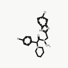 CN(Cc1nc2cc(Cl)ccc2[nH]1)C(=O)C(c1ccc(F)cc1)N1CCCCC1